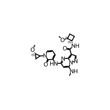 CNc1cc(Nc2cccn(C3C[C@@H]3OC)c2=O)nc2c(C(=O)N[C@H]3CC[C@@H]3OC)cnn12